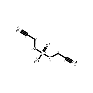 C#CCOP(=O)(O)OCC#C